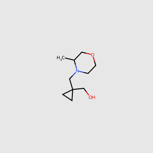 CC1COCCN1CC1(CO)CC1